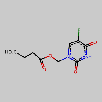 O=C(O)CCC(=O)OCn1cc(F)c(=O)[nH]c1=O